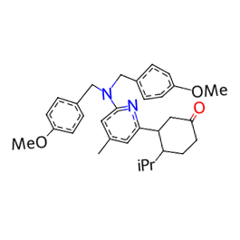 COc1ccc(CN(Cc2ccc(OC)cc2)c2cc(C)cc(C3CC(=O)CCC3C(C)C)n2)cc1